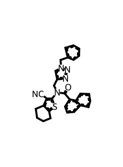 N#Cc1c(N(Cc2cn(Cc3ccccc3)nn2)C(=O)c2cccc3ccccc23)sc2c1CCCC2